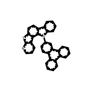 c1ccc2c(c1)c1ccccc1c1cc(-n3c4ccccc4c4ccc5sc6ncccc6c5c43)ccc21